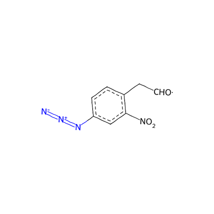 [N-]=[N+]=Nc1ccc(C[C]=O)c([N+](=O)[O-])c1